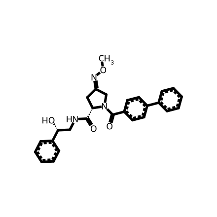 CO/N=C1/C[C@@H](C(=O)NC[C@@H](O)c2ccccc2)N(C(=O)c2ccc(-c3ccccc3)cc2)C1